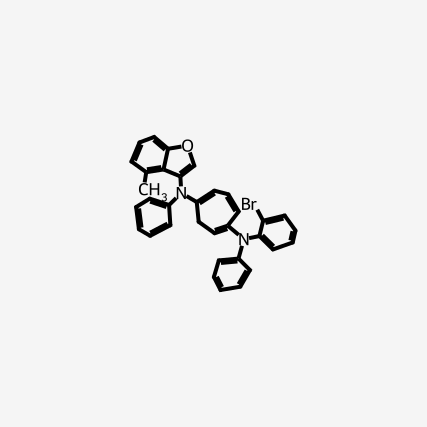 Cc1cccc2occ(N(C3=CC=CC(N(c4ccccc4)c4ccccc4Br)=CC3)c3ccccc3)c12